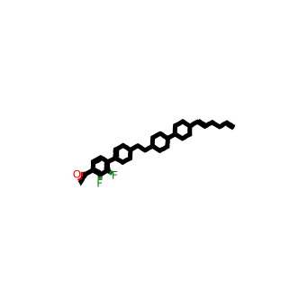 C=CCC/C=C/C1CCC(C2CCC(CCC3CC=C(c4ccc(C5CO5)c(F)c4F)CC3)CC2)CC1